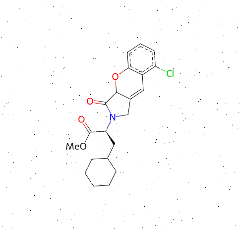 COC(=O)[C@H](CC1CCCCC1)N1CC2=Cc3c(Cl)cccc3OC2C1=O